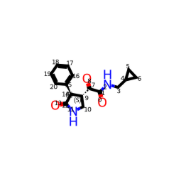 O=C(NCC1CC1)C(=O)[C@@H]1CNC(=O)[C@H]1c1ccccc1